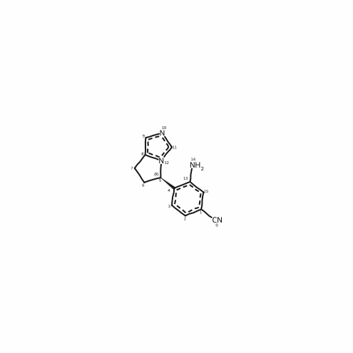 N#Cc1ccc([C@H]2CCc3cncn32)c(N)c1